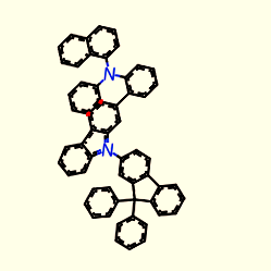 c1ccc(N(c2ccccc2-c2ccc3c4ccccc4n(-c4ccc5c(c4)C(c4ccccc4)(c4ccccc4)c4ccccc4-5)c3c2)c2cccc3ccccc23)cc1